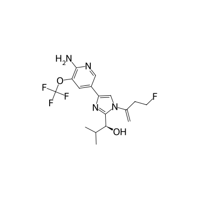 C=C(CCF)n1cc(-c2cnc(N)c(OC(F)(F)F)c2)nc1[C@@H](O)C(C)C